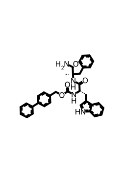 C[C@](Cc1ccccc1)(NC(=O)[C@H](Cc1c[nH]c2ccccc12)NC(=O)OCc1ccc(-c2ccccc2)cc1)C(N)=O